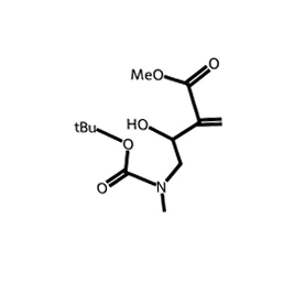 C=C(C(=O)OC)C(O)CN(C)C(=O)OC(C)(C)C